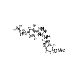 COc1ccc2sc(CNc3nncc(-c4c(C)cc(NCCN(C)C)cc4C)n3)nc2c1